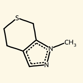 Cn1ncc2c1CSCC2